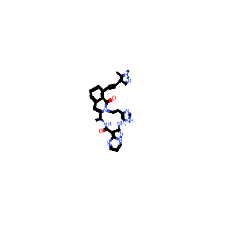 Cc1c(C#Cc2cccc3cc(C(C)NC(=O)c4c(N)nn5cccnc45)n(CCc4c[nH]cn4)c(=O)c23)cnn1C